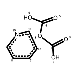 O=C(O)OC(=O)O.c1ccncc1